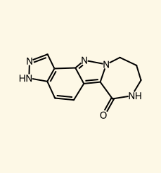 O=C1NCCCn2nc3c(ccc4[nH]ncc43)c21